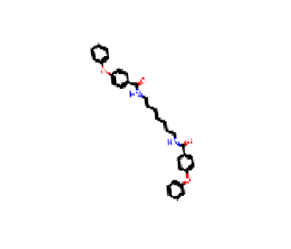 O=C(NCCCCCCCNC(=O)c1ccc(Oc2ccccc2)cc1)c1ccc(Oc2ccccc2)cc1